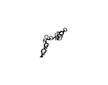 COc1cc(C)c(S(=O)(=O)N(C)CCOCC(=O)N(C)C2CCN(C3CCN(C4CC4)CC3)C2)c(C)c1